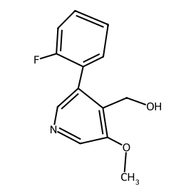 COc1cncc(-c2ccccc2F)c1CO